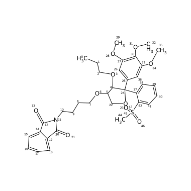 CCCOC1C(OCCCCN2C(=O)c3ccccc3C2=O)COC1(c1cc(OC)c(OC)c(OC)c1)c1ccccc1S(C)(=O)=O